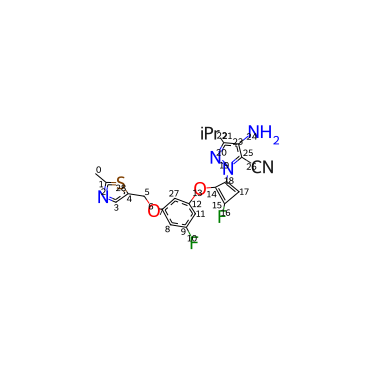 Cc1ncc(COc2cc(F)cc(OC3=C(F)C=C3n3nc(C(C)C)c(N)c3C#N)c2)s1